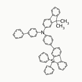 CC1(C)c2ccccc2-c2ccc(N(c3ccc(-c4ccccc4)cc3)c3ccc(-c4ccc5c(c4)[Si](c4ccccc4)(c4ccccc4)c4ccccc4-5)cc3)cc21